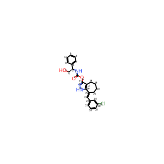 O=C(N[C@@H](CO)c1ccccc1)Oc1n[nH]c2c1CCCC/C2=C\c1cccc(Cl)c1